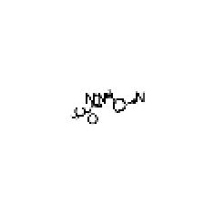 CCOC(=O)c1cn([C@@H](C)c2cccc(C#N)c2)cn1